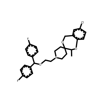 CC1Oc2ccc(Cl)cc2COC12CCN(CCOC(c1ccc(F)cc1)c1ccc(F)cc1)CC2